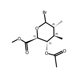 COC(=O)[C@H]1OC(Br)[C@H](C)[C@@H](C)[C@@H]1OC(C)=O